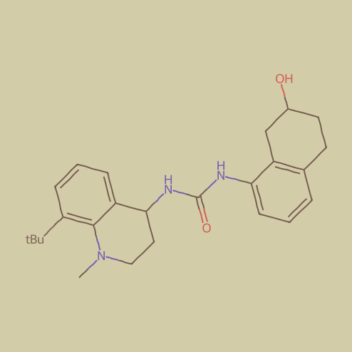 CN1CCC(NC(=O)Nc2cccc3c2CC(O)CC3)c2cccc(C(C)(C)C)c21